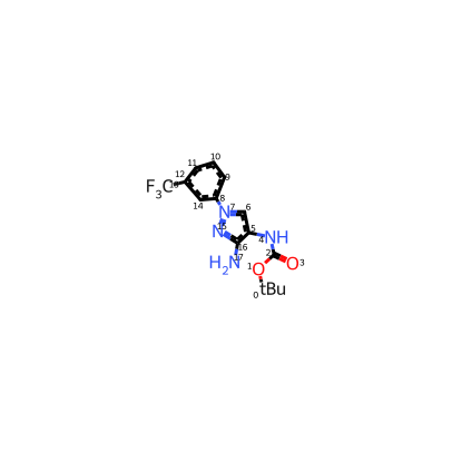 CC(C)(C)OC(=O)Nc1cn(-c2cccc(C(F)(F)F)c2)nc1N